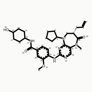 C=CC[C@H]1CN(C2CCCC2)c2nc(Nc3ccc(C(=O)NC4CCC(O)CC4)cc3OC)ncc2N(C)C1=O